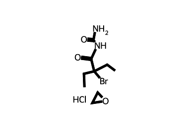 C1CO1.CCC(Br)(CC)C(=O)NC(N)=O.Cl